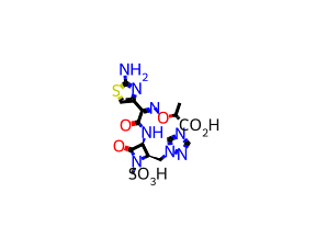 CC(ON=C(C(=O)N[C@@H]1C(=O)N(S(=O)(=O)O)[C@@H]1Cn1cncn1)c1csc(N)n1)C(=O)O